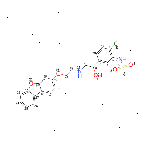 CS(=O)(=O)Nc1cc(C(O)CNCCOc2ccc3c(c2)oc2ccccc23)ccc1Cl